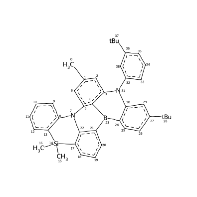 Cc1cc2c3c(c1)N1c4ccccc4[Si](C)(C)c4cccc(c41)B3c1ccc(C(C)(C)C)cc1N2c1cccc(C(C)(C)C)c1